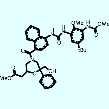 COC(=O)CC1CN(C(=O)c2ccc(NC(=O)Nc3cc(C(C)(C)C)cc(NC(=O)OC)c3OC)c3ccccc23)CC(CO)(c2ccccc2)O1